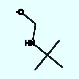 CC(C)(C)NC[O]